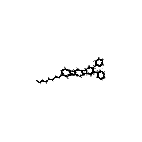 CCCCCCCCc1ccc2c(c1)c1cc3c4cc(-c5ccccc5)c(-c5ccccc5)cc4c3cc21